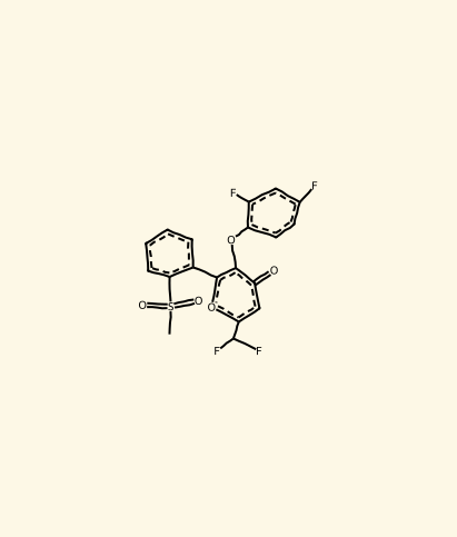 CS(=O)(=O)c1ccccc1-c1oc(C(F)F)cc(=O)c1Oc1ccc(F)cc1F